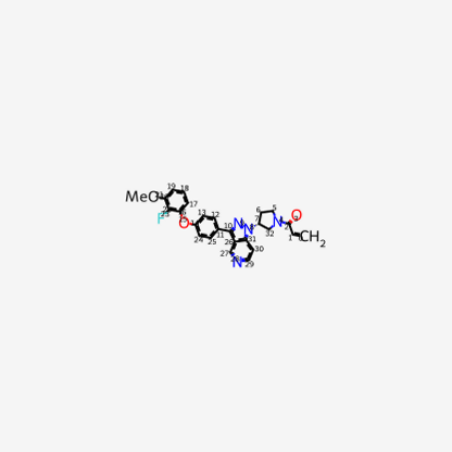 C=CC(=O)N1CC[C@@H](n2nc(-c3ccc(Oc4cccc(OC)c4F)cc3)c3cnccc32)C1